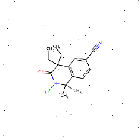 CCC1(CC)C(=O)N(Cl)C(C)(C)c2ccc(C#N)cc21